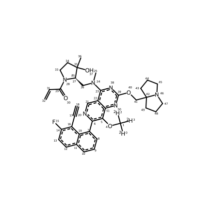 [2H]C([2H])([2H])Oc1c(-c2cccc3ccc(F)c(C#C)c23)ncc2c(N(C)C[C@H]3N(C(=O)C=C)CCC3(C)O)nc(OCC34CCCN3CCC4)nc12